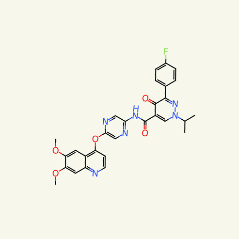 COc1cc2nccc(Oc3cnc(NC(=O)c4cn(C(C)C)nc(-c5ccc(F)cc5)c4=O)cn3)c2cc1OC